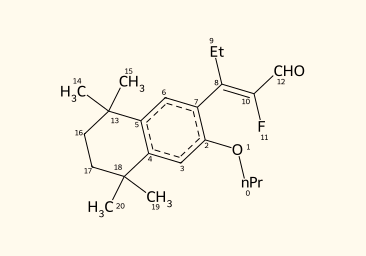 CCCOc1cc2c(cc1C(CC)=C(F)C=O)C(C)(C)CCC2(C)C